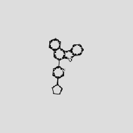 c1ccc2c(c1)cc(-c1ccc(C3CCCC3)cn1)c1oc3ccccc3c12